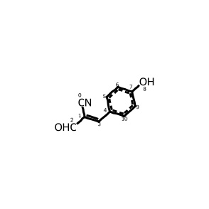 N#C/C(C=O)=C\c1ccc(O)cc1